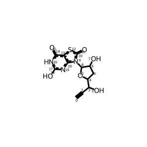 C#CC(O)C1CC(O)C(n2c(=O)sc3c(=O)[nH]c(O)nc32)O1